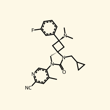 Cc1cc(C#N)ncc1N1C[C@]2(C[C@](c3cccc(F)c3)(N(C)C)C2)N(CC2CC2)C1=O